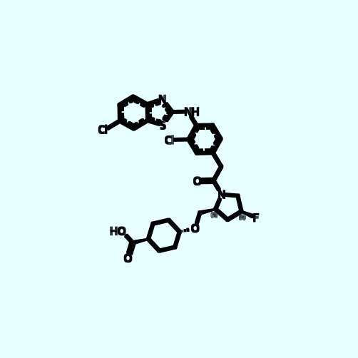 O=C(Cc1ccc(Nc2nc3ccc(Cl)cc3s2)c(Cl)c1)N1C[C@@H](F)C[C@H]1CO[C@H]1CC[C@H](C(=O)O)CC1